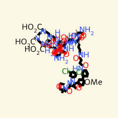 COc1cc2c(cc1-c1cccc(NC(=O)CCC(=O)NCCCC[C@@H](NC(=O)[C@@H](CO)NC(=O)[C@@H](CC(N)=O)NC(=O)[C@@H](CC(N)=O)NC(=O)[C@@H](CO)NC(=O)[C@@H](C)NC(=O)CN3CCN(CC(=O)O)CCN(CC(=O)O)CCN(CC(=O)O)CC3)C(=O)N[C@H](C)C(N)=O)c1)-c1c(c(C(=O)N3CCOCC3(C)C)nn1-c1cc(Cl)cc(Cl)c1)CO2